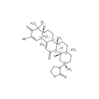 CC1(C)C(=O)C(C#N)=C[C@]2(C)C3=CC(=O)[C@@H]4[C@H]5C[C@@](C)(N6CCOC6=O)CC[C@]5(C)CC[C@@]4(C)[C@]3(C)CC[C@@H]12